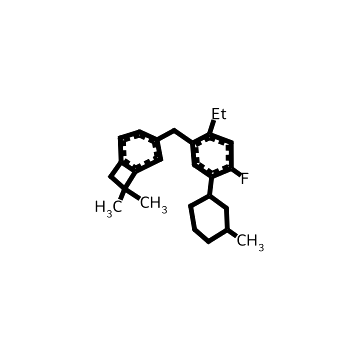 CCc1cc(F)c(C2CCCC(C)C2)cc1Cc1ccc2c(c1)C(C)(C)C2